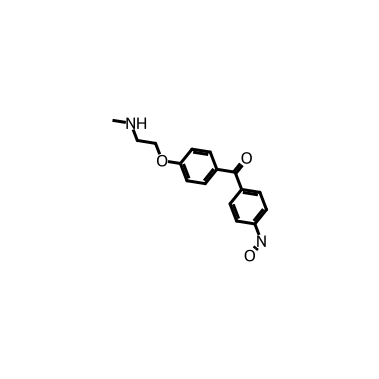 CNCCOc1ccc(C(=O)c2ccc(N=O)cc2)cc1